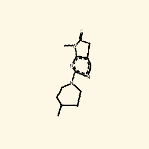 CC1CCN(c2ncc3c(n2)N(C)C(=O)C3)CC1